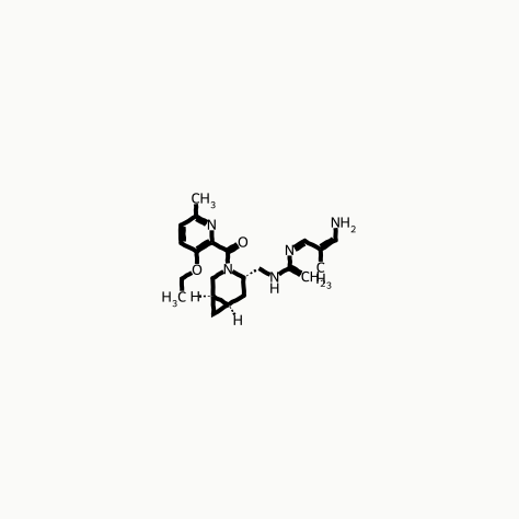 C=C(/N=C\C(C)=C/N)NC[C@@H]1C[C@H]2C[C@H]2CN1C(=O)c1nc(C)ccc1OCC